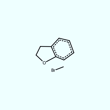 CBr.c1ccc2c(c1)CCO2